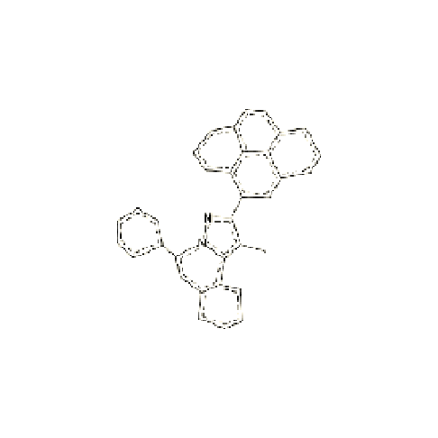 Cc1c(-c2cc3cccc4ccc5cccc2c5c43)nn2c(-c3ccccc3)cc3ccccc3c12